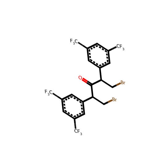 O=C(C(CBr)c1cc(C(F)(F)F)cc(C(F)(F)F)c1)C(CBr)c1cc(C(F)(F)F)cc(C(F)(F)F)c1